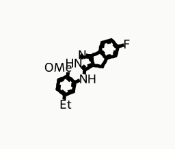 CCc1ccc(OC)c(Nc2[nH]nc3c2Cc2cc(F)ccc2-3)c1